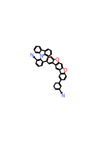 N#CC1=CCCC(c2ccc3oc4cc5oc6ccc(-c7cccc(C#N)c7-n7c8ccccc8c8ccccc87)cc6c5cc4c3c2)=C1